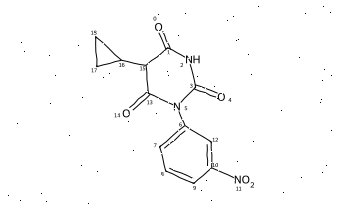 O=C1NC(=O)N(c2cccc([N+](=O)[O-])c2)C(=O)C1C1CC1